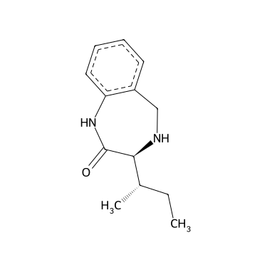 CC[C@H](C)[C@@H]1NCc2ccccc2NC1=O